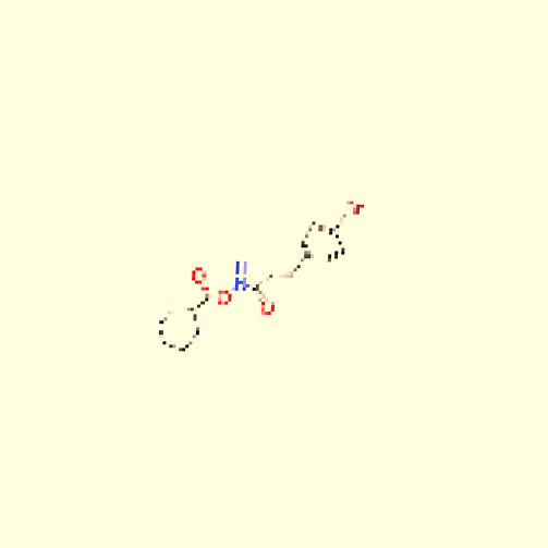 O=C(C=Cc1ccc(Br)cc1)NOC(=O)C1CCCCC1